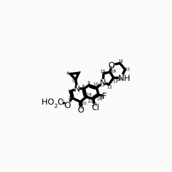 O=C(O)Oc1cn(C2CC2)c2cc(N3CC4NCCOC4C3)c(F)c(Cl)c2c1=O